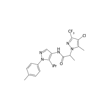 Cc1ccc(-n2ncc(NC(=O)C(C)n3nc(C(F)(F)F)c(Cl)c3C)c2C(C)C)cc1